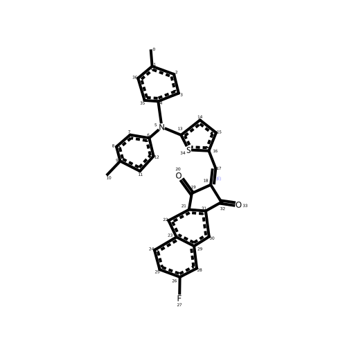 Cc1ccc(N(c2ccc(C)cc2)c2ccc(/C=C3\C(=O)c4cc5ccc(F)cc5cc4C3=O)s2)cc1